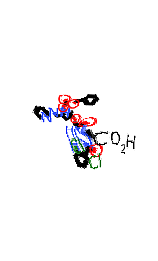 O=C(COC1CC(CNc2ccccn2)N(OC(=O)OCc2ccccc2)C1)NCC(NC(=O)c1c(Cl)cccc1Cl)C(=O)O